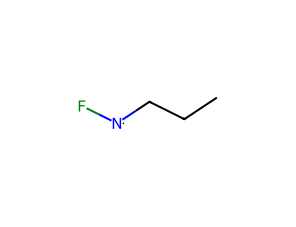 CCC[N]F